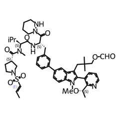 C/C=C/S(=O)(=O)N1CC[C@H](C(=O)N(C)[C@H](C(=O)N[C@@H](Cc2cccc(-c3ccc4c(c3)c(CC(C)(C)COC=O)c(-c3cccnc3[C@H](C)OC)n4C)c2)C(=O)N2CCCCN2)C(C)C)C1